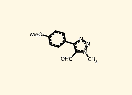 COc1ccc(-c2nnn(C)c2C=O)cc1